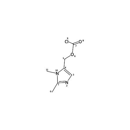 Cc1ncc(COC(=O)Cl)n1C